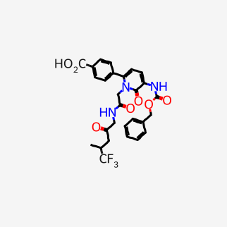 CC(CC(=O)CNC(=O)Cn1c(-c2ccc(C(=O)O)cc2)ccc(NC(=O)OCc2ccccc2)c1=O)C(F)(F)F